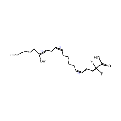 CCCCC/C(O)=C/C/C=C\CCCC/C=C\CCC(F)(F)C(=O)O